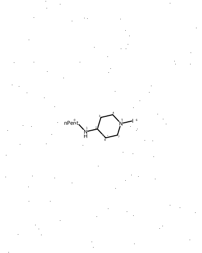 CCCCCNC1CCN(I)CC1